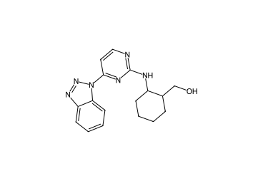 OCC1CCCCC1Nc1nccc(-n2nnc3ccccc32)n1